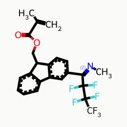 C=C(C)C(=O)OCC1c2ccccc2-c2cc(/C(=N/C)C(F)(F)C(F)(F)C(F)(F)F)ccc21